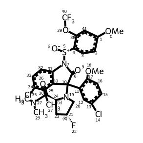 COc1ccc([S+]([O-])N2C(=O)C(c3cc(Cl)ccc3OC)(N3C[C@H](F)C[C@H]3C(=O)N(C)C)c3c2ccc(Cl)c3C)c(OC(F)(F)F)c1